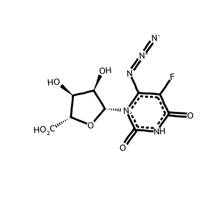 [N-]=[N+]=Nc1c(F)c(=O)[nH]c(=O)n1[C@@H]1O[C@H](C(=O)O)[C@@H](O)[C@H]1O